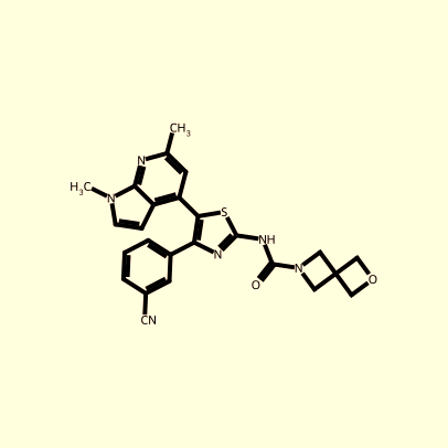 Cc1cc(-c2sc(NC(=O)N3CC4(COC4)C3)nc2-c2cccc(C#N)c2)c2ccn(C)c2n1